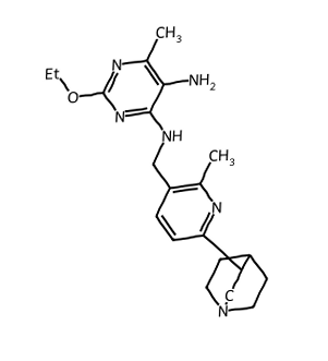 CCOc1nc(C)c(N)c(NCc2ccc(C3CN4CCC3CC4)nc2C)n1